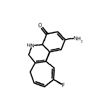 NC1=CC(=O)C2NCC3=C(C=C(F)C=CC3)C2=C1